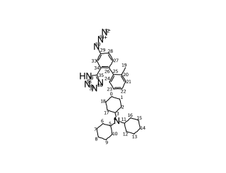 C1CCC(N(C2CCCCC2)C2CCCCC2)CC1.Cc1ccccc1-c1ccc(N=[N+]=[N-])cc1-c1nnn[nH]1